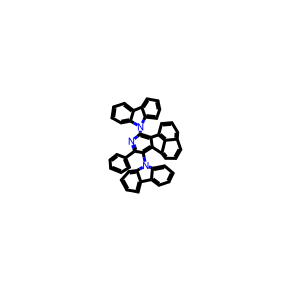 c1ccc(-c2nc(-n3c4ccccc4c4ccccc43)c3c(c2-n2c4ccccc4c4ccccc42)-c2cccc4cccc-3c24)cc1